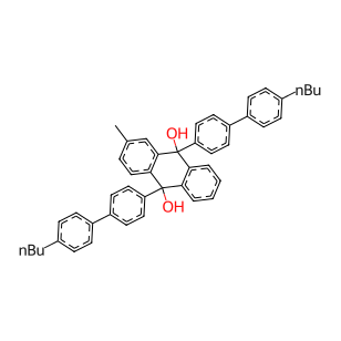 CCCCc1ccc(-c2ccc(C3(O)c4ccccc4C(O)(c4ccc(-c5ccc(CCCC)cc5)cc4)c4cc(C)ccc43)cc2)cc1